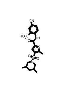 Cc1sc(C(=O)Nc2ccc(C#N)cc2C(=O)O)cc1S(=O)(=O)N1CC(C)CC(C)C1